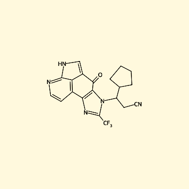 N#CCC(C1CCCC1)n1c(C(F)(F)F)nc2c1C(=O)c1c[nH]c3nccc-2c13